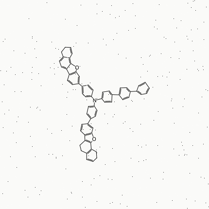 C1=CC2=C(CC1)c1oc3cc(-c4ccc(N(c5ccc(-c6ccc(-c7ccccc7)cc6)cc5)c5ccc(-c6ccc7c(c6)oc6c8c(ccc67)CCC=C8)cc5)cc4)ccc3c1CC2